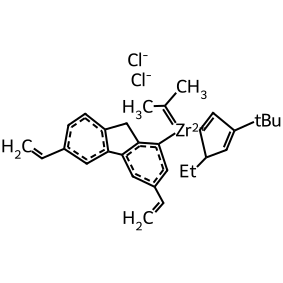 C=Cc1ccc2c(c1)-c1cc(C=C)c[c]([Zr+2]([C]3=CC(C(C)(C)C)=CC3CC)=[C](C)C)c1C2.[Cl-].[Cl-]